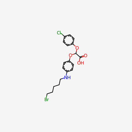 O=C(O)C(Oc1ccc(Cl)cc1)Oc1ccc(NCCCCCBr)cc1